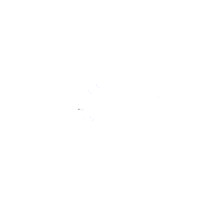 CC(C)(C)CC(=O)CSc1nnc([C@H](Cc2ccccc2)NC(=O)OC(C)(C)C)o1